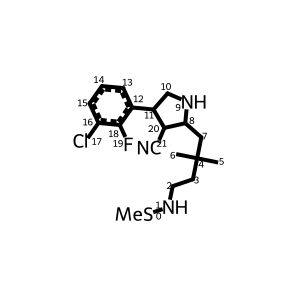 CSNCCC(C)(C)CC1NCC(c2cccc(Cl)c2F)C1C#N